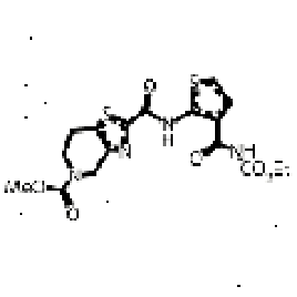 CCOC(=O)NC(=O)c1ccsc1NC(=O)c1nc2c(s1)CCN(C(=O)OC)C2